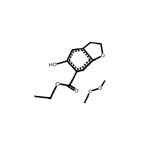 CCOC(=O)c1cc2c(cc1O)CCO2.COOC